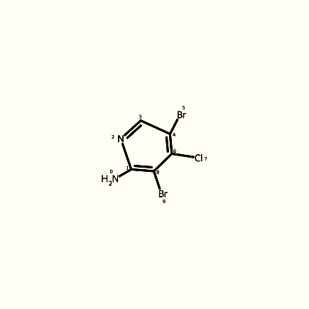 Nc1ncc(Br)c(Cl)c1Br